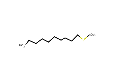 CCCCCCCCSCCCCCCCCCC(=O)O